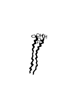 CCCCCCCCCCCCCCC=CCC(O)CO.CCCCCCCCCCCCCCCCCC(=O)O